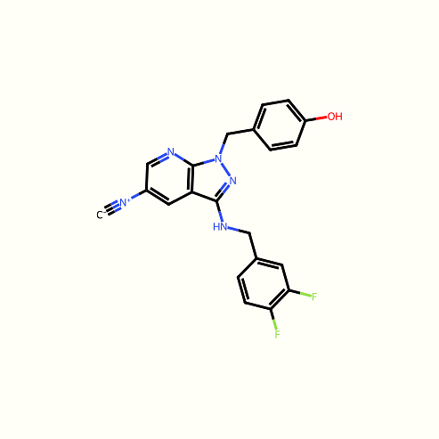 [C-]#[N+]c1cnc2c(c1)c(NCc1ccc(F)c(F)c1)nn2Cc1ccc(O)cc1